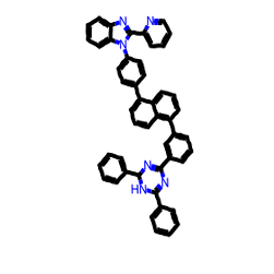 c1ccc(C2=NC(c3cccc(-c4cccc5c(-c6ccc(-n7c(-c8ccccn8)nc8ccccc87)cc6)cccc45)c3)=NC(c3ccccc3)N2)cc1